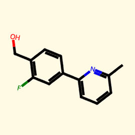 Cc1cccc(-c2ccc(CO)c(F)c2)n1